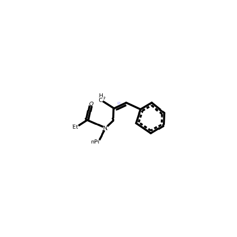 CCCN(C/C(C)=C\c1ccccc1)C(=O)CC